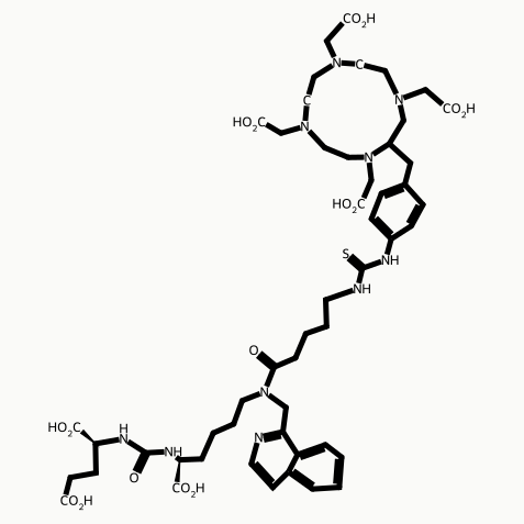 O=C(O)CC[C@H](NC(=O)N[C@@H](CCCCN(Cc1nccc2ccccc12)C(=O)CCCCNC(=S)Nc1ccc(CC2CN(CC(=O)O)CCN(CC(=O)O)CCN(CC(=O)O)CCN2CC(=O)O)cc1)C(=O)O)C(=O)O